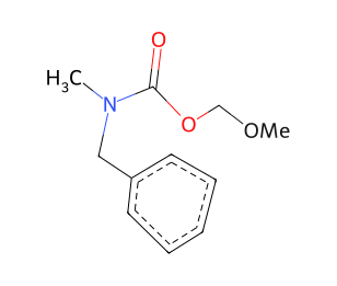 COCOC(=O)N(C)Cc1ccccc1